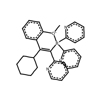 C[O+]1c2ccccc2C(C2CCCCC2)=C(c2ccccn2)[B-]1(c1ccccn1)c1ccccn1